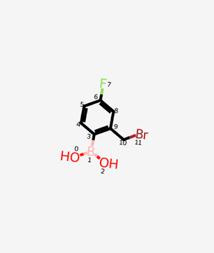 OB(O)c1ccc(F)cc1CBr